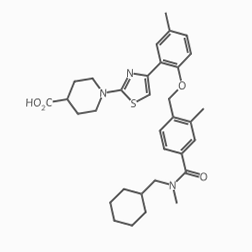 Cc1ccc(OCc2ccc(C(=O)N(C)CC3CCCCC3)cc2C)c(-c2csc(N3CCC(C(=O)O)CC3)n2)c1